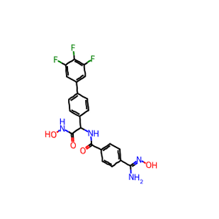 N/C(=N\O)c1ccc(C(=O)NC(C(=O)NO)c2ccc(-c3cc(F)c(F)c(F)c3)cc2)cc1